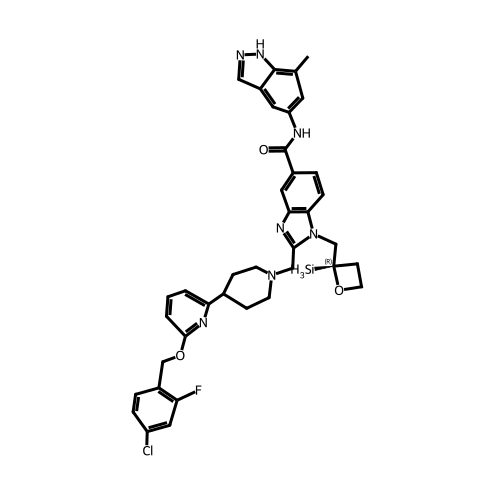 Cc1cc(NC(=O)c2ccc3c(c2)nc(CN2CCC(c4cccc(OCc5ccc(Cl)cc5F)n4)CC2)n3C[C@]2([SiH3])CCO2)cc2cn[nH]c12